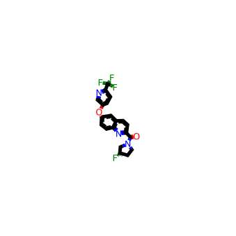 O=C(c1ccc2cc(Oc3ccc(C(F)(F)F)nc3)ccc2n1)N1CC[C@@H](F)C1